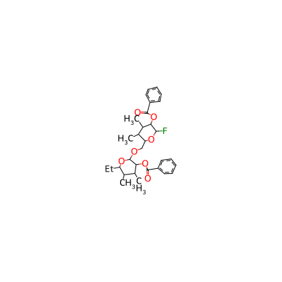 CCC1OC(OCC2OC(F)C(OC(=O)c3ccccc3)C(C)C2C)C(OC(=O)c2ccccc2)C(C)C1C